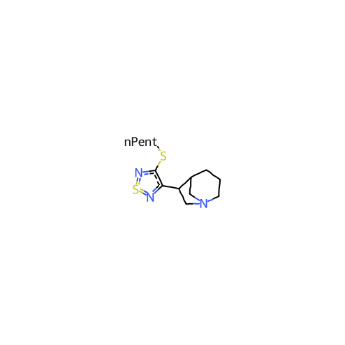 CCCCCSc1nsnc1C1CN2CCCC1C2